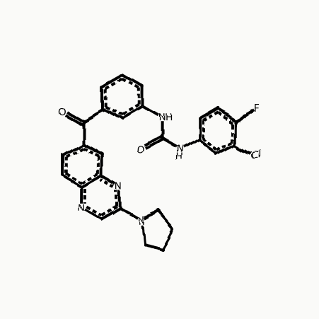 O=C(Nc1cccc(C(=O)c2ccc3ncc(N4CCCC4)nc3c2)c1)Nc1ccc(F)c(Cl)c1